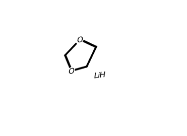 C1COCO1.[LiH]